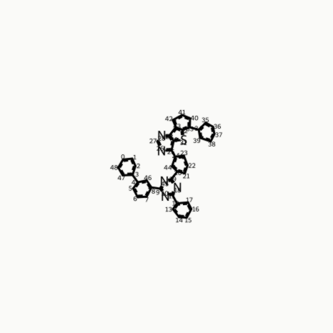 c1ccc(-c2cccc(-c3nc(-c4ccccc4)nc(-c4cccc(-c5ncnc6c5sc5c(-c7ccccc7)cccc56)c4)n3)c2)cc1